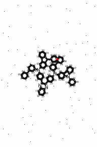 c1ccc(-c2cccc(N(c3ccc(-c4nc5ccccc5nc4-c4ccc(N(c5cccc(-c6ccccc6)c5)c5ccc6c(c5)c5ccccc5n6-c5ccccc5)cc4)cc3)c3ccc4c(c3)-c3ccccc3C4c3ccccc3)c2)cc1